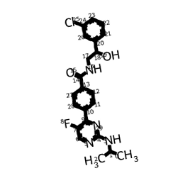 CC(C)Nc1ncc(F)c(-c2ccc(C(=O)NCC(O)c3cccc(Cl)c3)cc2)n1